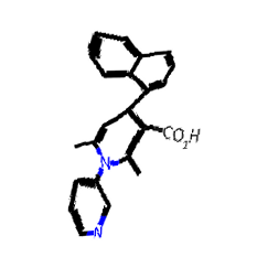 CC1=CC(c2cccc3ccccc23)C(C(=O)O)=C(C)N1c1cccnc1